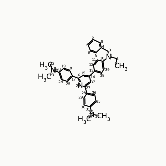 CCN(Cc1ccccc1)c1ccc(-c2cc(-c3ccc(N(C)C)cc3)nc(-c3ccc(N(C)C)cc3)c2)cc1